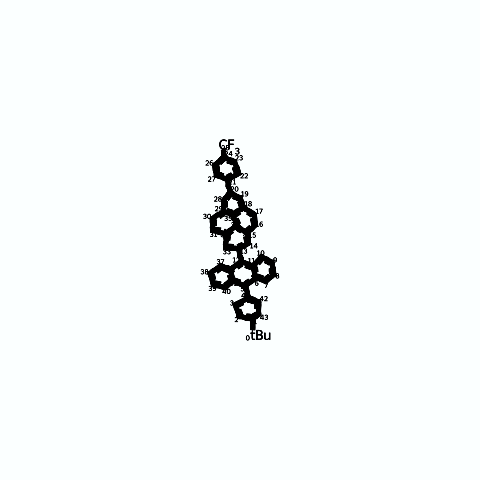 CC(C)(C)c1ccc(-c2c3ccccc3c(-c3cc4ccc5cc(-c6ccc(C(F)(F)F)cc6)cc6ccc(c3)c4c56)c3ccccc23)cc1